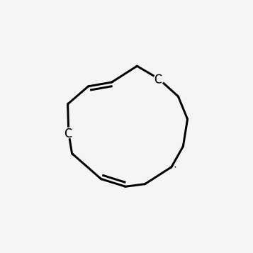 [CH]1C/C=C\CCC/C=C/CCCCC1